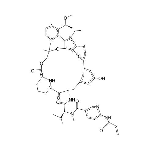 C=CC(=O)Nc1ccc(C(=O)N(C)[C@H](C(=O)N[C@H]2Cc3cc(O)cc(c3)-c3ccc4c(c3)c(c(-c3cccnc3[C@H](C)OC)n4CC)CC(C)(C)COC(=O)[C@@H]3CCCN(N3)C2=O)C(C)C)cn1